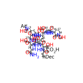 C/C=C(\NC(=O)[C@H](CCCN(O)C(C)=O)NC(=O)[C@@H](CO)NC(=O)[C@H](CCC(N)=O)NC(=O)[C@H](CO)NC(=O)[C@H](NC(=O)CCCCCCCCCCC)[C@@H](O)C(=O)O)C(=O)N[C@H](CO)C(=O)N[C@@H]1CCCN(O)C1=O